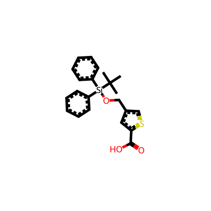 CC(C)(C)[Si](OCc1csc(C(=O)O)c1)(c1ccccc1)c1ccccc1